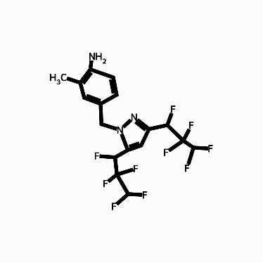 Cc1cc(Cn2nc(C(F)C(F)(F)C(F)F)cc2C(F)C(F)(F)C(F)F)ccc1N